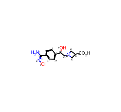 N/C(=N/O)c1ccc(C(O)CN2CC(C(=O)O)C2)cc1